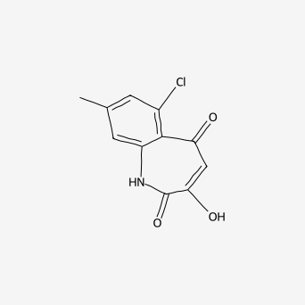 Cc1cc(Cl)c2c(=O)cc(O)c(=O)[nH]c2c1